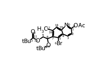 CC(=O)Oc1ccc2c(Br)c(C(COC(=O)C(C)(C)C)OC(C)(C)C)c(C)cc2n1